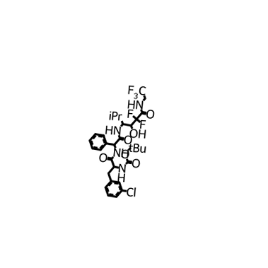 CC(C)C(NC(=O)C(NC(=O)C(Cc1cccc(Cl)c1)NC(=O)OC(C)(C)C)c1ccccc1)C(O)C(F)(F)C(=O)NCC(F)(F)F